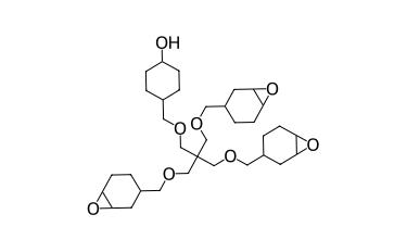 OC1CCC(COCC(COCC2CCC3OC3C2)(COCC2CCC3OC3C2)COCC2CCC3OC3C2)CC1